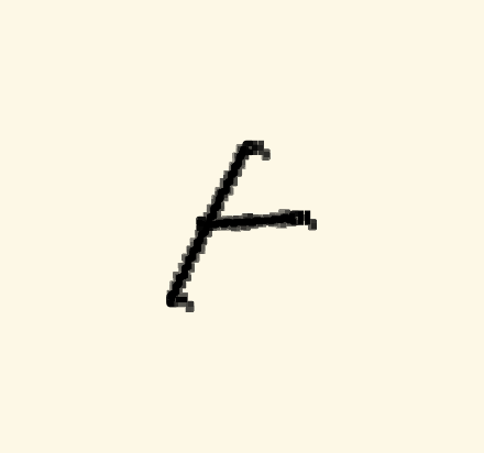 CCCCCCCCCCCCCCCCCC[Se+](CCCCCCCCCCCCCCCCCC)CCCCCCCCCCCCCCCCCC